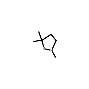 CN1CCC(C)(C)S1